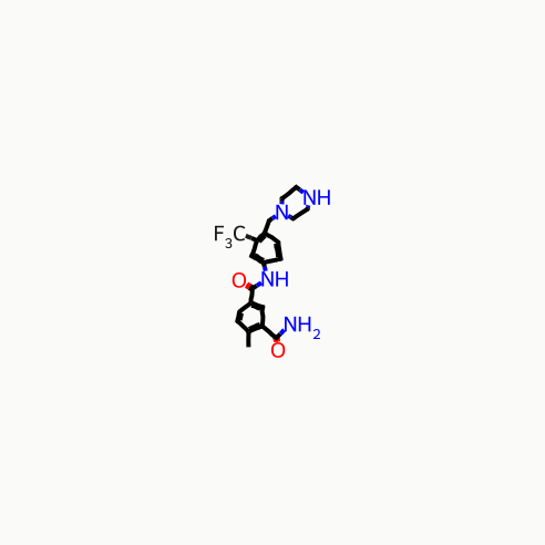 Cc1ccc(C(=O)Nc2ccc(CN3CCNCC3)c(C(F)(F)F)c2)cc1C(N)=O